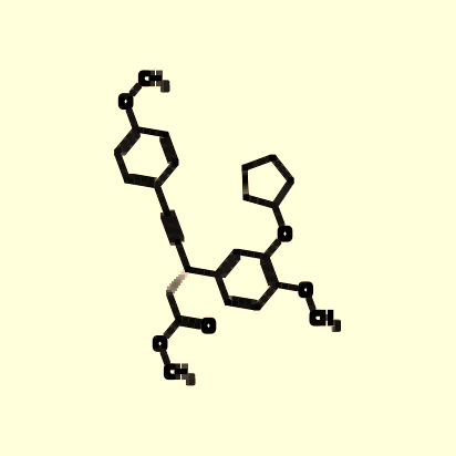 COC(=O)C[C@H](C#Cc1ccc(OC)cc1)c1ccc(OC)c(OC2CCCC2)c1